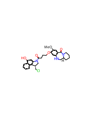 COc1cc2c(cc1OCCCC(=O)N1C[C@@H](CCl)c3c1cc(O)c1ccccc31)NC[C@@H]1CCCCN1C2=O